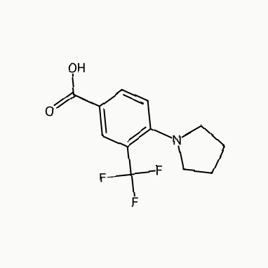 O=C(O)c1ccc(N2CCCC2)c(C(F)(F)F)c1